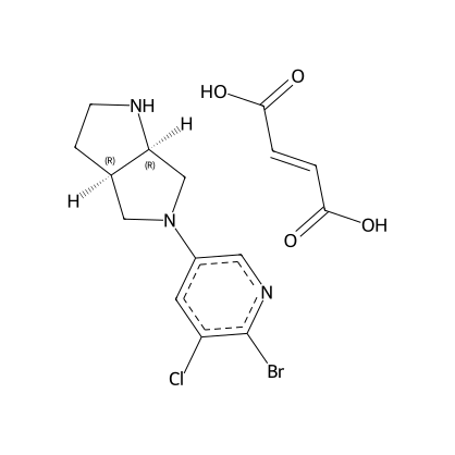 Clc1cc(N2C[C@H]3CCN[C@H]3C2)cnc1Br.O=C(O)C=CC(=O)O